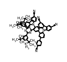 CC(C)(C)c1cc(-c2nc(-c3cc(C(C)(C)C)cc(C(C)(C)C)c3)nc(-c3cc(-c4cc(-c5ccc(C#N)cc5)ccc4-n4c5ccc(C#N)cc5c5cc(C#N)ccc54)ccc3-n3c4ccc(C#N)cc4c4cc(C#N)ccc43)n2)cc(C(C)(C)C)c1